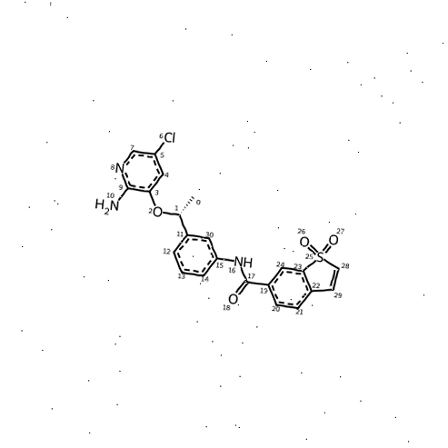 C[C@@H](Oc1cc(Cl)cnc1N)c1cccc(NC(=O)c2ccc3c(c2)S(=O)(=O)C=C3)c1